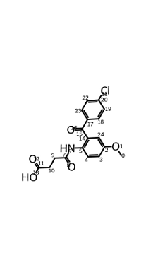 COc1ccc(NC(=O)CCC(=O)O)c(C(=O)c2ccc(Cl)cc2)c1